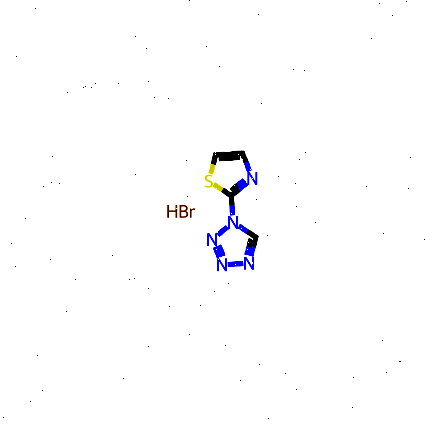 Br.c1csc(-n2cnnn2)n1